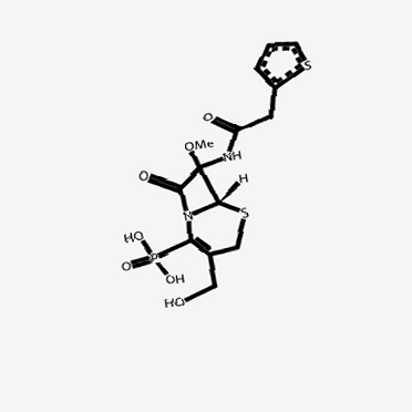 COC1(NC(=O)Cc2cccs2)C(=O)N2C(P(=O)(O)O)=C(CO)CS[C@H]21